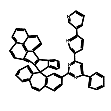 C1=Cc2ccc(-c3nc(-c4ccccc4)cc(-c4ccc(-c5cccnc5)nc4)n3)cc2C2(c3ccccc31)c1ccccc1-c1c2cc2ccc3cccc4ccc1c2c34